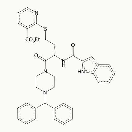 CCOC(=O)c1cccnc1SCC[C@H](NC(=O)c1cc2ccccc2[nH]1)C(=O)N1CCN(C(c2ccccc2)c2ccccc2)CC1